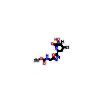 CCC1C[C@@H](c2nnc(CNC(=O)OC(C)(C)C)o2)N2C[C@H]1N(O)C2=O